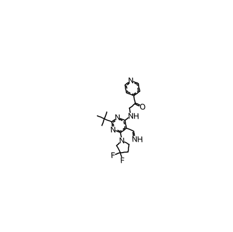 CC(C)(C)c1nc(NCC(=O)c2ccncc2)c(C=N)c(N2CCC(F)(F)C2)n1